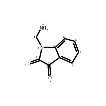 NCN1C(=O)C(=O)c2ccccc21